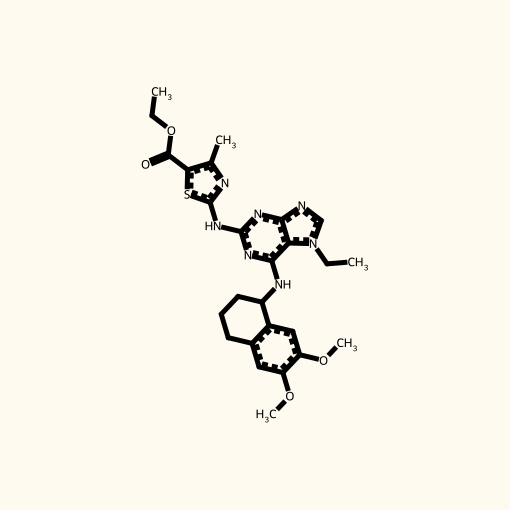 CCOC(=O)c1sc(Nc2nc(NC3CCCc4cc(OC)c(OC)cc43)c3c(ncn3CC)n2)nc1C